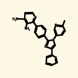 Cc1ccc(-n2cc(-c3ccccn3)nc2-c2ccc(-c3nccc(N)c3N)cc2)cn1